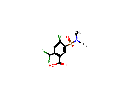 CN(C)S(=O)(=O)c1cc(C(=O)O)c(C(F)F)cc1Br